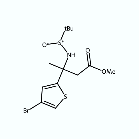 COC(=O)CC(C)(N[S+]([O-])C(C)(C)C)c1cc(Br)cs1